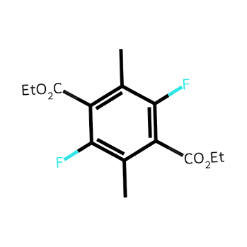 CCOC(=O)c1c(C)c(F)c(C(=O)OCC)c(C)c1F